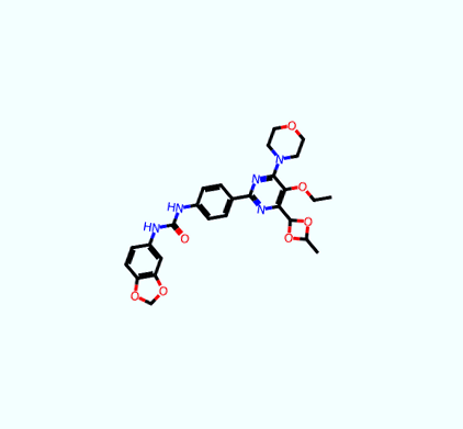 CCOc1c(C2OC(C)O2)nc(-c2ccc(NC(=O)Nc3ccc4c(c3)OCO4)cc2)nc1N1CCOCC1